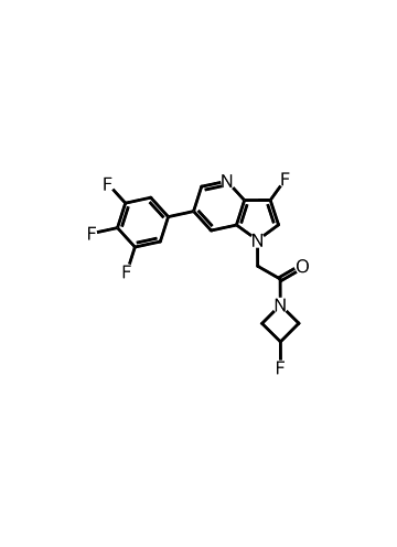 O=C(Cn1cc(F)c2ncc(-c3cc(F)c(F)c(F)c3)cc21)N1CC(F)C1